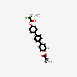 CCCCCCCC[C@H](F)C(=O)OC1CCC(c2ccc(C3CCC(OC(=O)[C@@H](F)CCCCCCCC)CC3)cc2)CC1